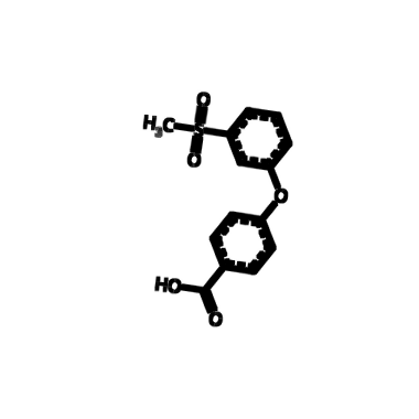 CS(=O)(=O)c1cccc(Oc2ccc(C(=O)O)cc2)c1